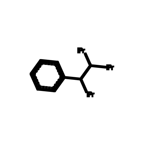 CC(C)[C](C(C)C)C(c1ccccc1)C(C)C